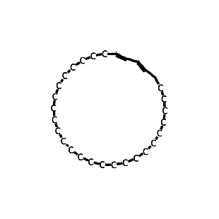 [C]1=C/C=C/CCCCCCCCCCCCCCCCCCCCCCCCCC/1